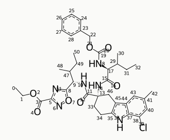 CCOC(=O)c1noc([C@@H](NC(=O)[C@]2(NC(=O)[C@@H](NC(=O)OCc3ccccc3)C(C)CC)CCc3[nH]c4c(Cl)cc(C)cc4c3C2)C(C)CC)n1